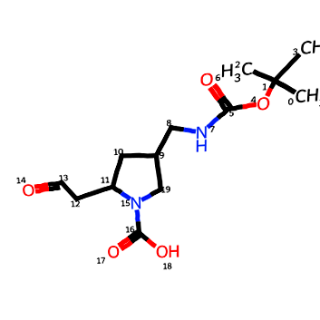 CC(C)(C)OC(=O)NCC1CC(CC=O)N(C(=O)O)C1